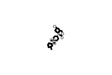 Cc1cccc(S(=O)(=O)N2CCC(N3C(=O)OCc4cc(Cl)ccc43)CC2)c1